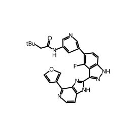 CC(C)(C)CC(=O)Nc1cncc(-c2ccc3[nH]nc(-c4nc5c(-c6ccoc6)nccc5[nH]4)c3c2F)c1